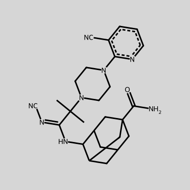 CC(C)(/C(=N\C#N)NC1C2CC3CC1CC(C(N)=O)(C3)C2)N1CCN(c2ncccc2C#N)CC1